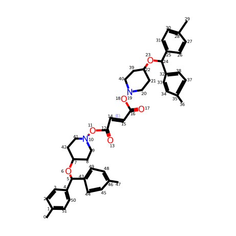 Cc1ccc(C(OC2CCN(OC(=O)/C=C/C(=O)ON3CCC(OC(c4ccc(C)cc4)c4ccc(C)cc4)CC3)CC2)c2ccc(C)cc2)cc1